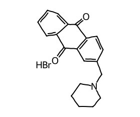 Br.O=C1c2ccccc2C(=O)c2cc(CN3CCCCC3)ccc21